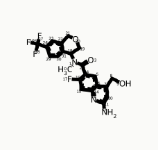 CN(C(=O)c1cc2c(CO)cc(N)nc2cc1F)C1COCc2cc(C(F)(F)F)ccc21